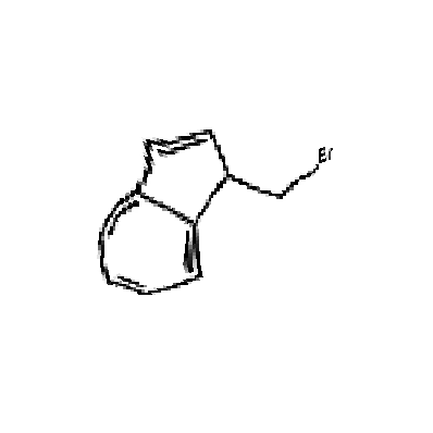 BrCC1C=Cc2cc[c]cc21